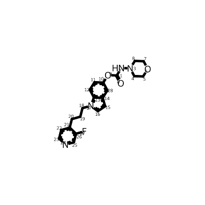 O=C(NN1CCOCC1)Oc1ccc2c(ccn2CCCc2ccncc2F)c1